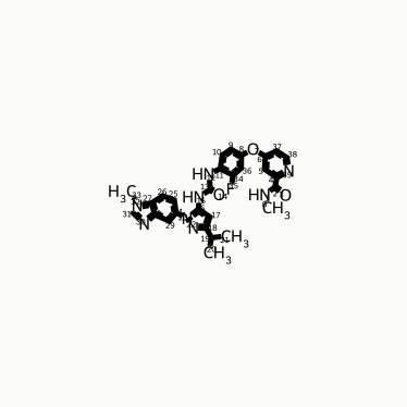 CNC(=O)c1cc(Oc2ccc(NC(=O)Nc3cc(C(C)C)nn3-c3ccc4c(c3)ncn4C)c(F)c2)ccn1